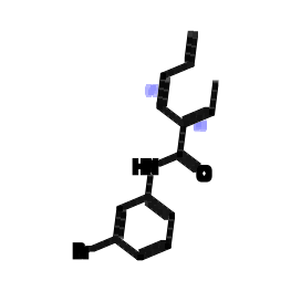 C=C/C=C\C(=C/C)C(=O)Nc1cccc(Br)c1